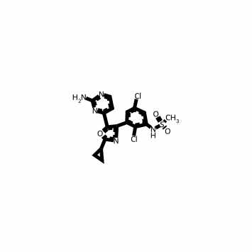 CS(=O)(=O)Nc1cc(Cl)cc(-c2nc(C3CC3)oc2-c2ccnc(N)n2)c1Cl